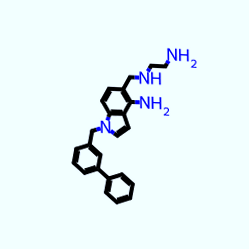 NCCNCc1ccc2c(ccn2Cc2cccc(-c3ccccc3)c2)c1N